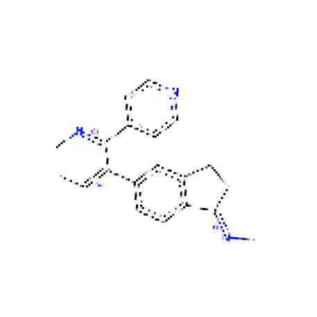 C/C=C(\C(=N/C)c1ccncc1)c1ccc2c(c1)CC/C2=N\C